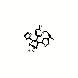 CC#CCn1cc(-c2c(-c3ccco3)nc(N)nc2C2CC=CO2)ccc1=O